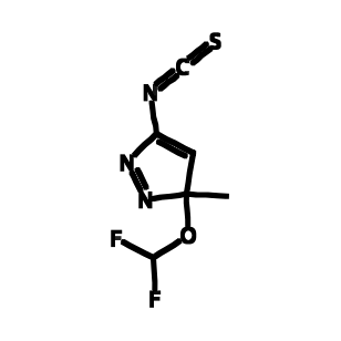 CC1(OC(F)F)C=C(N=C=S)N=N1